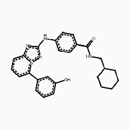 O=C(NCC1CCCCC1)c1ccc(Nc2nc3cccc(-c4cccc(O)c4)n3n2)cc1